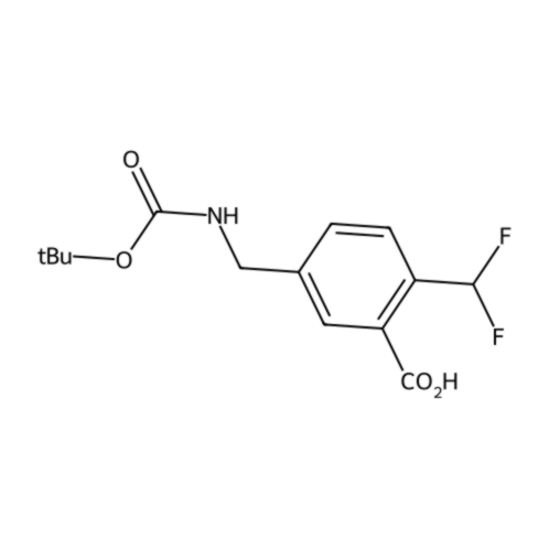 CC(C)(C)OC(=O)NCc1ccc(C(F)F)c(C(=O)O)c1